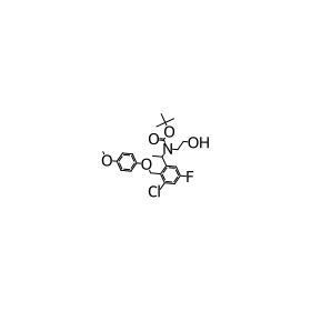 COc1ccc(OCc2c(Cl)cc(F)cc2C(C)N(CCO)C(=O)OC(C)(C)C)cc1